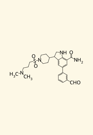 CN(C)CCCS(=O)(=O)N1CCC(C2CNc3c(C(N)=O)cc(-c4cccc(C=O)c4)cc32)CC1